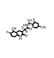 C[C@H](NC(=O)C(F)(F)c1cc2c(C#N)c(F)ccc2[nH]c1=O)c1ncc(C#N)cc1F